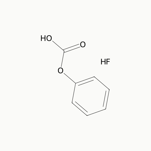 F.O=C(O)Oc1ccccc1